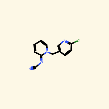 N#CN=c1ccccn1Cc1ccc(Cl)nc1